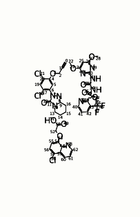 C#CCOc1cc(-n2nc3n(c2=O)CCCC3)c(Cl)cc1Cl.COc1cc(OC)nc(NC(=O)NS(=O)(=O)c2ncccc2C(F)(F)F)n1.O=C(O)COc1ccc(Cl)c2cccnc12